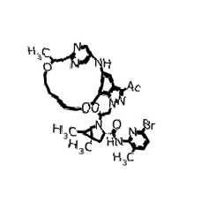 CC(=O)c1nn(CC(=O)N2C3C(C)[C@]3(C)C[C@H]2C(=O)Nc2nc(Br)ccc2C)c2c3cc(cc12)Nc1cnc(nc1)C(C)OCCC/C=C/COC3